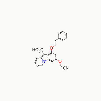 N#CCOc1cc(OCCc2ccccc2)c2c(C(=O)O)c3ccccn3c2c1